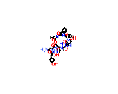 CC[C@H](C)[C@H]1C(=O)N(C)C(Cc2ccccc2)C(=O)N[C@@H](C(C)C)C(=O)O[C@H](C)[C@H](NC(=O)[C@H](CC(N)=O)NC(=O)C(O)Cc2ccc(O)cc2)C(=O)N[C@@H](CC(C)C)C(=O)N[C@H]2CC[C@@H](O)N1C2=O